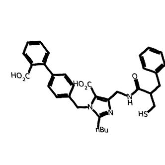 CCCCc1nc(CNC(=O)C(CS)Cc2ccccc2)c(C(=O)O)n1Cc1ccc(-c2ccccc2C(=O)O)cc1